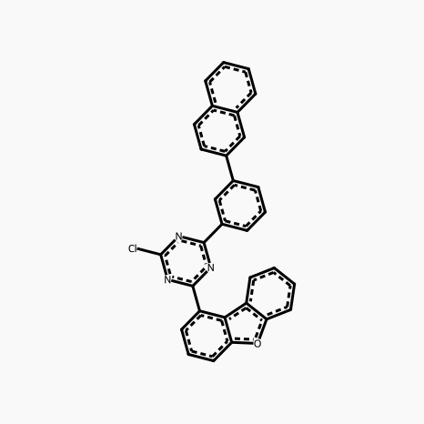 Clc1nc(-c2cccc(-c3ccc4ccccc4c3)c2)nc(-c2cccc3oc4ccccc4c23)n1